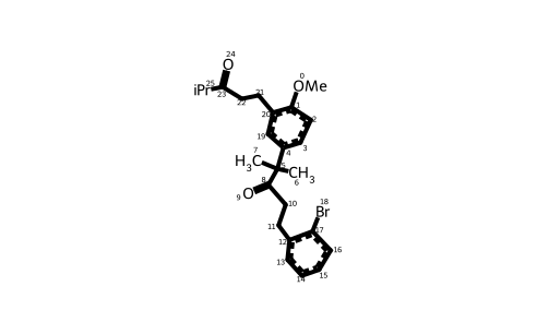 COc1ccc(C(C)(C)C(=O)CCc2ccccc2Br)cc1CCC(=O)C(C)C